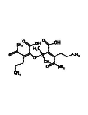 CCCC(C(N)=O)=C(O[Si](C)(C)C(C(=O)O)=C(CCC)C(N)=O)C(=O)O